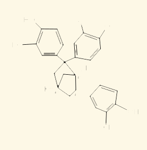 Cc1cc([C@@H]2C[C@@H]3C[C@H]2C(c2ccc(O)c(C)c2)(c2ccc(O)c(C)c2)C3)ccc1O